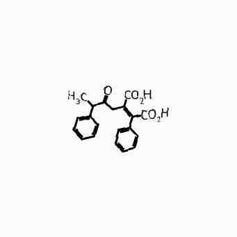 CC(C(=O)CC(C(=O)O)=C(C(=O)O)c1ccccc1)c1ccccc1